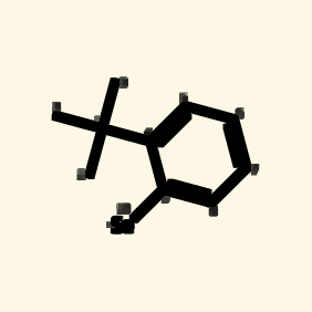 CC(C)(C)c1ccccc1[Se]